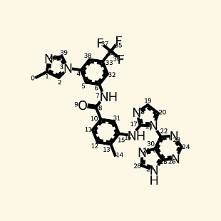 Cc1cn(-c2cc(NC(=O)c3ccc(C)c(Nc4nccn4-c4ncnc5[nH]cnc45)c3)cc(C(F)(F)F)c2)cn1